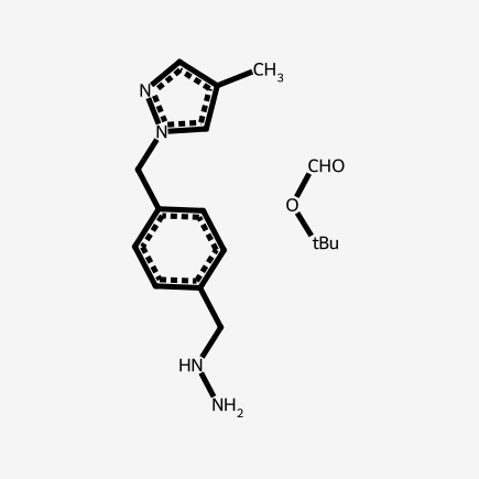 CC(C)(C)OC=O.Cc1cnn(Cc2ccc(CNN)cc2)c1